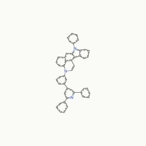 C1=CN(c2cccc(-c3cc(-c4ccccc4)nc(-c4ccccc4)c3)c2)c2cccc3cc4c(c1c23)c1ccccc1n4-c1ccccc1